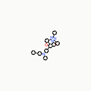 c1ccc(-c2ccc(N(c3ccccc3)c3ccc(-c4cc5ccccc5c5c4oc4cccc(-c6nc(-c7ccccc7)nc(-c7ccccc7)n6)c45)cc3)cc2)cc1